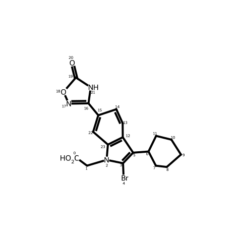 O=C(O)Cn1c(Br)c(C2CCCCC2)c2ccc(-c3noc(=O)[nH]3)cc21